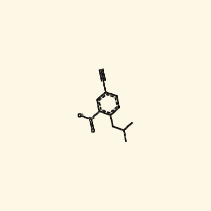 C#Cc1ccc(CC(C)C)c([N+](=O)[O-])c1